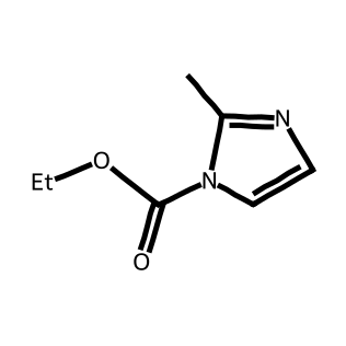 CCOC(=O)n1ccnc1C